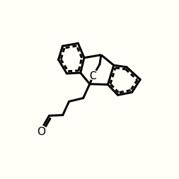 O=CCCCC12CCC(c3ccccc31)c1ccccc12